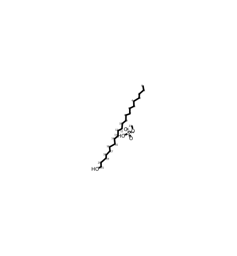 CCCCCCCCCCCCCCCCCCCCCCO.COS(=O)(=O)O